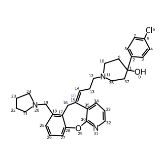 OC1(c2ccc(Cl)cc2)CCN(CC/C=C2/Cc3c(CN4CCCC4)cccc3Oc3ncccc32)CC1